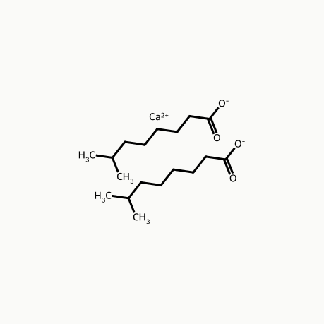 CC(C)CCCCCC(=O)[O-].CC(C)CCCCCC(=O)[O-].[Ca+2]